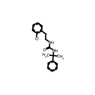 CC(C)(NC(=O)NCCc1ccccc1Cl)c1ccccc1